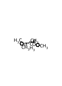 Cc1ccc(OC(=O)C(C)(C)CCCOc2cc(C)ccc2C)cc1